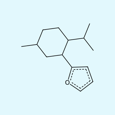 CC1CCC(C(C)C)C(c2ccco2)C1